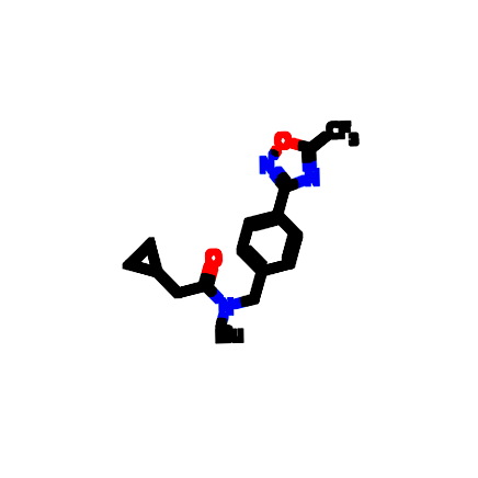 CCC(C)N(Cc1ccc(-c2noc(C(F)(F)F)n2)cc1)C(=O)CC1CC1